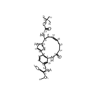 COC(=O)Nc1ccc2c(c1)NC(=O)CCC=CCC(NC(=O)OC(C)(C)C)c1nc-2c[nH]1